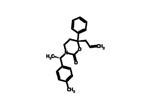 C=CC[C@]1(c2ccccc2)CCN([C@@H](C)c2ccc(C)cc2)C(=O)O1